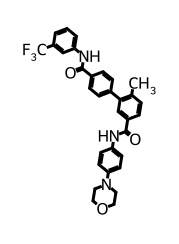 Cc1ccc(C(=O)Nc2ccc(N3CCOCC3)cc2)cc1-c1ccc(C(=O)Nc2cccc(C(F)(F)F)c2)cc1